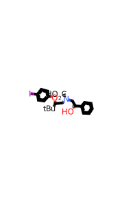 CC(C)(C)C(CN(C[C@H](O)c1ccccc1)C(=O)O)Oc1ccc(I)cc1